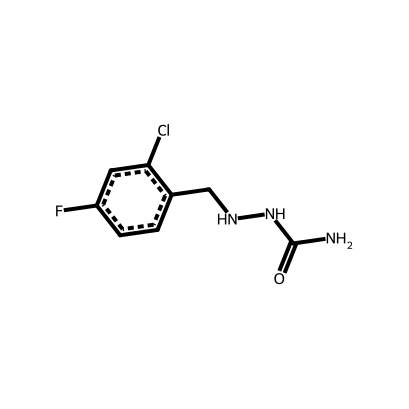 NC(=O)NNCc1ccc(F)cc1Cl